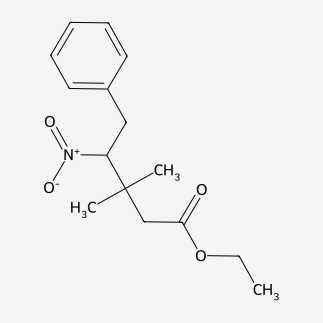 CCOC(=O)CC(C)(C)C(Cc1ccccc1)[N+](=O)[O-]